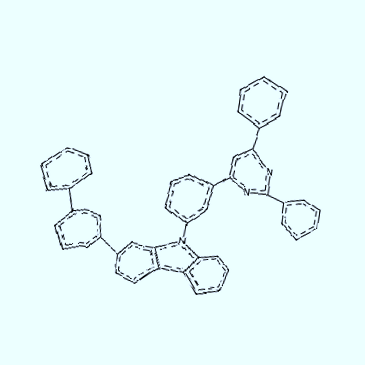 c1ccc(-c2cccc(-c3ccc4c5ccccc5n(-c5cccc(-c6cc(-c7ccccc7)nc(-c7ccccc7)n6)c5)c4c3)c2)cc1